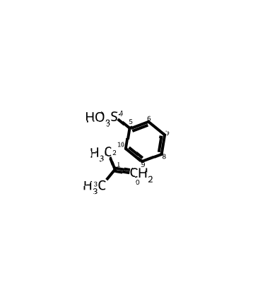 C=C(C)C.O=S(=O)(O)c1ccccc1